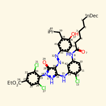 CCCCCCCCCCCCCCCC(=O)Nc1ccc(Cl)c(Nc2[nH]n(-c3c(Cl)cc(C(=O)OCC)cc3Cl)c(=O)c2N=Nc2ccc(O)c(CC(C)C)c2)c1